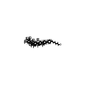 CCCCCCCC1CCC(c2ccc(-c3cc(F)c(-c4cc(F)c(C(F)(F)Oc5cc(F)c(F)c(F)c5)c(F)c4)c(F)c3)c(F)c2)CC1